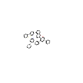 c1ccc(-c2ccc(N(c3cc4c(oc5cc(-c6ccccc6)cc(-c6ccccc6)c54)c4ccccc34)c3cccc4c3sc3ccccc34)cc2)cc1